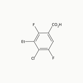 CCc1c(F)c(C(=O)O)cc(F)c1Cl